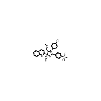 COCC1N(c2ccc(Cl)cc2)C(c2ccc(S(C)(=O)=O)cc2)=NC1(O)c1ccc2ccccc2n1